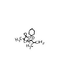 C=C(C)C(=O)OC1(OC(=O)C(=C)C)CCCCC1